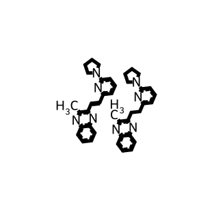 Cc1nc2ccccc2nc1C=Cc1cccc(N2CCCC2)n1.Cc1nc2ccccc2nc1CCc1cccc(N2CCCC2)n1